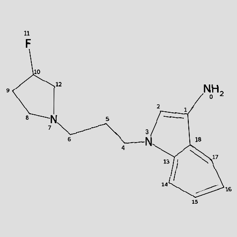 Nc1cn(CCCN2CCC(F)C2)c2ccccc12